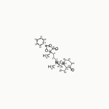 C[C@H](CCC[C@@]1(C)O[C@H](c2ccccc2)OC1=O)[C@H]1CCC2C(=O)CCC[C@]21C